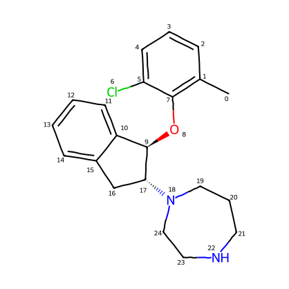 Cc1cccc(Cl)c1O[C@@H]1c2ccccc2C[C@H]1N1CCCNCC1